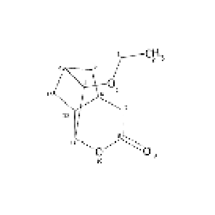 CCOC1C2CC3CC(=O)OC1C3C2